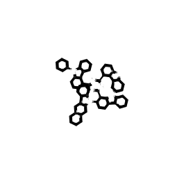 c1ccc(-n2c3ccccc3c3c(-c4nc(-c5c(-n6c7ccccc7c7cc8ccccc8cc76)ccc6c5oc5ccccc56)nc(-c5cccc6oc7ccccc7c56)n4)cccc32)cc1